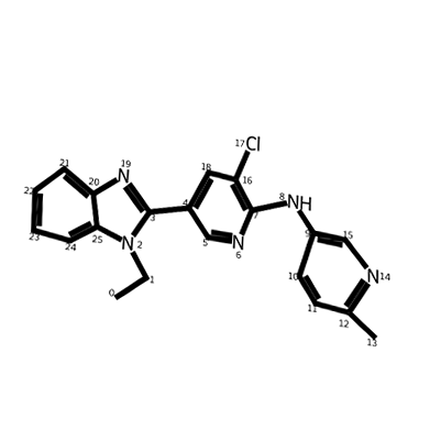 CCn1c(-c2cnc(Nc3ccc(C)nc3)c(Cl)c2)nc2ccccc21